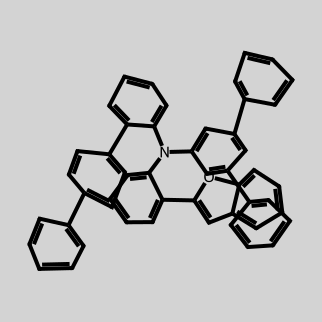 c1ccc(-c2ccc(-c3ccccc3N(c3cc(-c4ccccc4)cc(-c4ccccc4)c3)c3ccccc3-c3cc4ccccc4o3)cc2)cc1